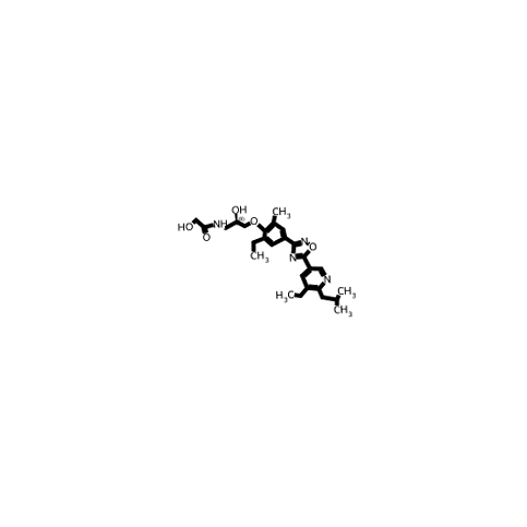 CCc1cc(-c2nc(-c3cc(C)c(OC[C@H](O)CNC(=O)CO)c(CC)c3)no2)cnc1CC(C)C